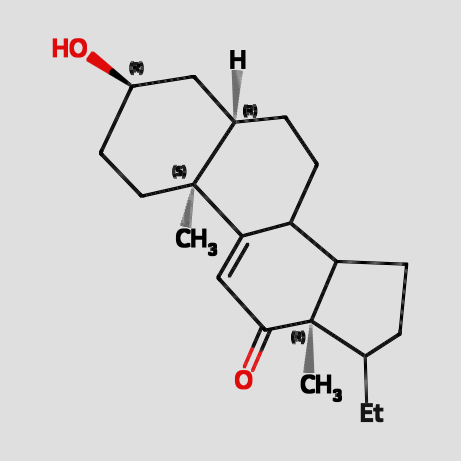 CCC1CCC2C3CC[C@@H]4C[C@H](O)CC[C@]4(C)C3=CC(=O)[C@]12C